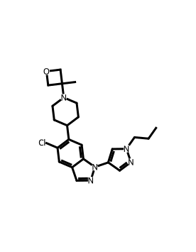 CCCn1cc(-n2ncc3cc(Cl)c(C4CCN(C5(C)COC5)CC4)cc32)cn1